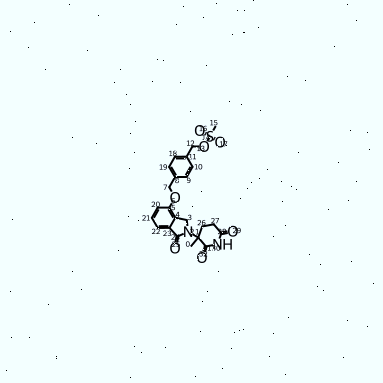 CC1(N2Cc3c(OCc4ccc(COS(C)(=O)=O)cc4)cccc3C2=O)CCC(=O)NC1=O